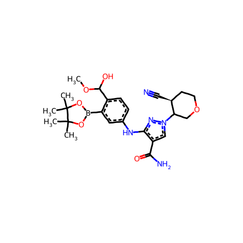 COC(O)c1ccc(Nc2nn(C3COCC[C@@H]3C#N)cc2C(N)=O)cc1B1OC(C)(C)C(C)(C)O1